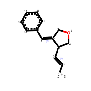 C/C=C/C1COC/C1=C\c1ccccc1